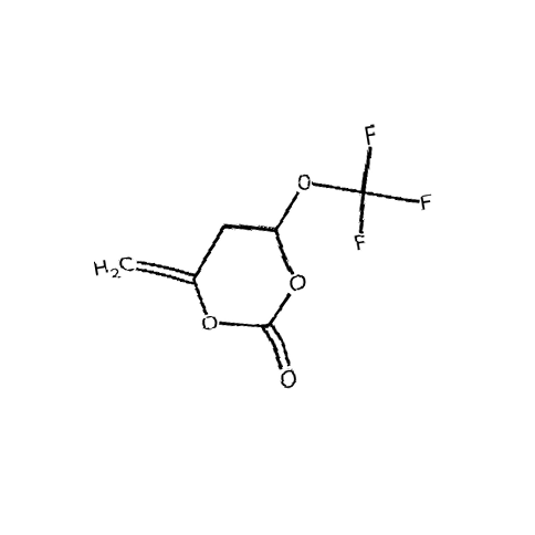 C=C1CC(OC(F)(F)F)OC(=O)O1